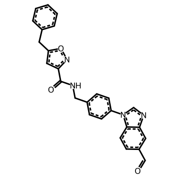 O=Cc1ccc2c(c1)ncn2-c1ccc(CNC(=O)c2cc(Cc3ccccc3)on2)cc1